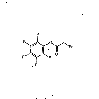 O=C(CBr)Oc1c(F)c(F)c(F)c(F)c1F